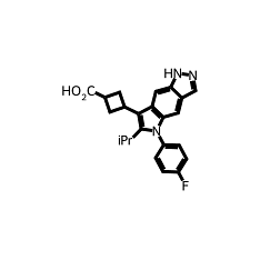 CC(C)c1c(C2CC(C(=O)O)C2)c2cc3[nH]ncc3cc2n1-c1ccc(F)cc1